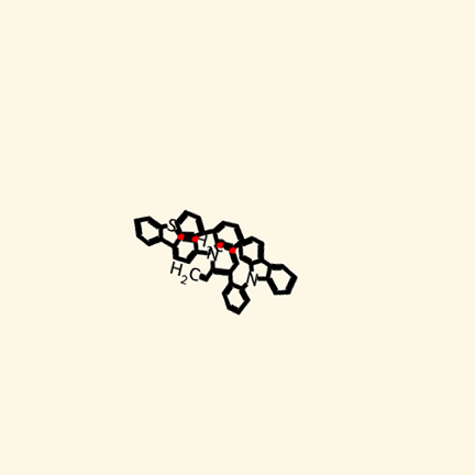 C=C/C(=C(/C=C\C)c1ccccc1-n1c2ccccc2c2ccccc21)N(c1ccc2c(c1)sc1ccccc12)c1ccccc1-c1ccccc1